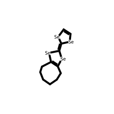 C1=C[Se]C(=C2[Se]C3=C(CCCCCC3)[Se]2)[Se]1